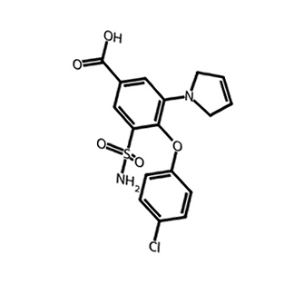 NS(=O)(=O)c1cc(C(=O)O)cc(N2CC=CC2)c1Oc1ccc(Cl)cc1